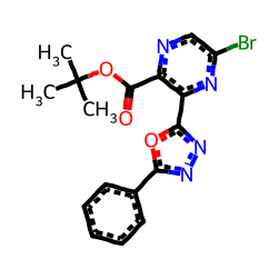 CC(C)(C)OC(=O)c1ncc(Br)nc1-c1nnc(-c2ccccc2)o1